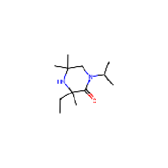 CCC1(C)NC(C)(C)CN(C(C)C)C1=O